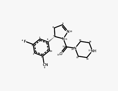 N#Cc1cc(F)cc([C@@H]2CC=NN2C(=O)N2CCNCC2)c1